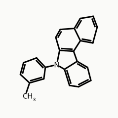 Cc1cccc(-n2c3ccccc3c3c4ccccc4ccc32)c1